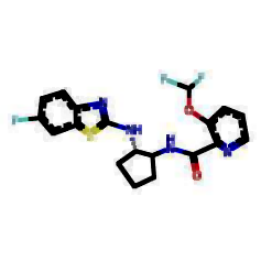 O=C(NC1CCC[C@@H]1Nc1nc2ccc(F)cc2s1)c1ncccc1OC(F)F